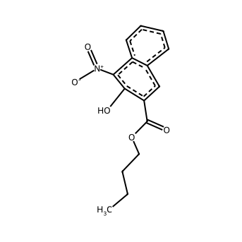 CCCCOC(=O)c1cc2ccccc2c([N+](=O)[O-])c1O